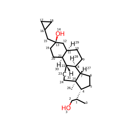 CC(CO)[C@H]1CC[C@H]2[C@@H]3CC[C@@H]4C[C@@](O)(CC5CC5)CC[C@@H]4[C@H]3CC[C@]12C